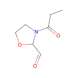 CCC(=O)N1CCOC1C=O